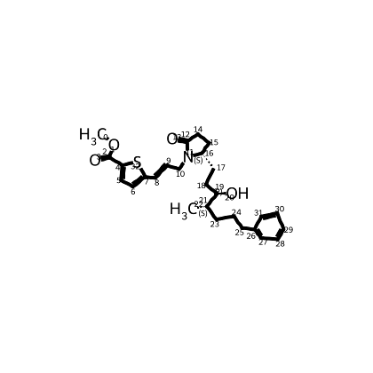 COC(=O)c1ccc(C=CCN2C(=O)CC[C@@H]2CC[C@@H](O)[C@@H](C)CCCc2ccccc2)s1